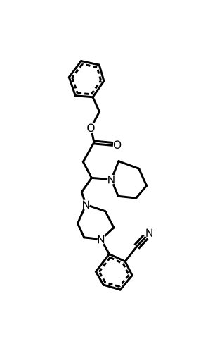 N#Cc1ccccc1N1CCN(CC(CC(=O)OCc2ccccc2)N2CCCCC2)CC1